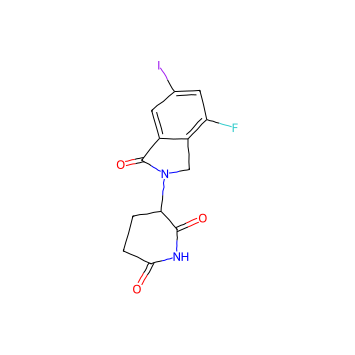 O=C1CCC(N2Cc3c(F)cc(I)cc3C2=O)C(=O)N1